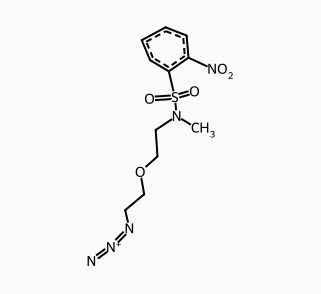 CN(CCOCCN=[N+]=[N-])S(=O)(=O)c1ccccc1[N+](=O)[O-]